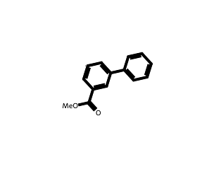 COC(=O)c1c[c]cc(-c2ccccc2)c1